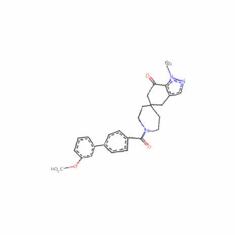 CC(C)(C)n1ncc2c1C(=O)CC1(CCN(C(=O)c3ccc(-c4cccc(OC(=O)O)c4)cc3)CC1)C2